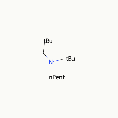 CCCCCN(CC(C)(C)C)C(C)(C)C